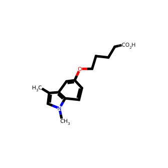 Cc1cn(C)c2ccc(OCCCCC(=O)O)cc12